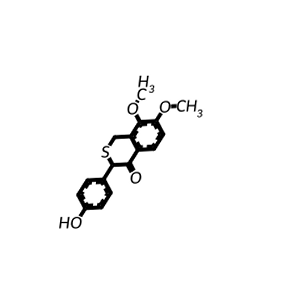 COc1ccc2c(c1OC)CSC(c1ccc(O)cc1)C2=O